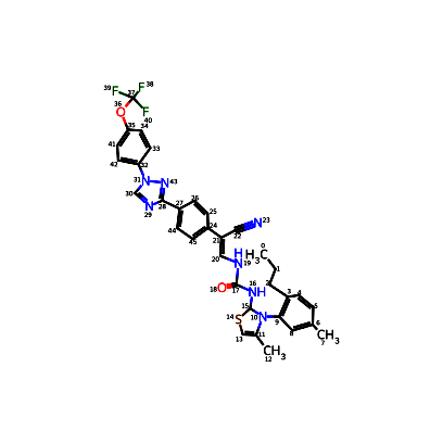 CCCc1ccc(C)cc1N1C(C)=CSC1NC(=O)N/C=C(\C#N)c1ccc(-c2ncn(-c3ccc(OC(F)(F)F)cc3)n2)cc1